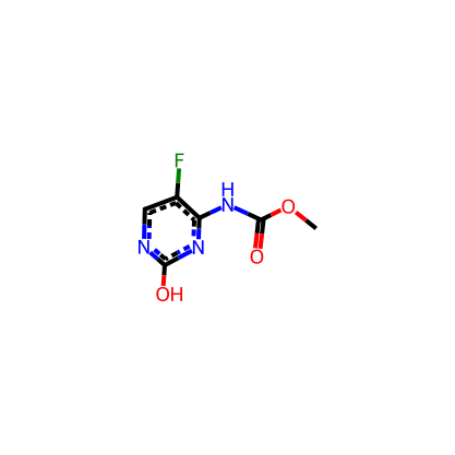 COC(=O)Nc1nc(O)ncc1F